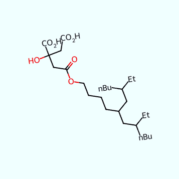 CCCCC(CC)CC(CCCCOC(=O)CC(O)(CC(=O)O)C(=O)O)CC(CC)CCCC